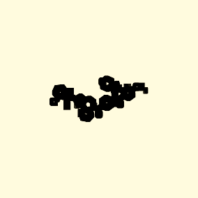 Cc1ccc(C(=O)Nc2ccc(C(=O)N3CCc4cc(-c5nc6cccc(Cl)c6[nH]5)sc4-c4ncccc43)cc2)c(N2CC3(CCOCC3)C2)n1